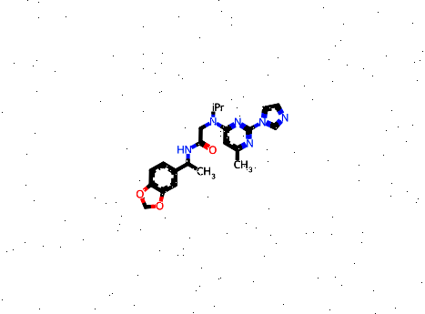 Cc1cc(N(CC(=O)NC(C)c2ccc3c(c2)OCO3)C(C)C)nc(-n2ccnc2)n1